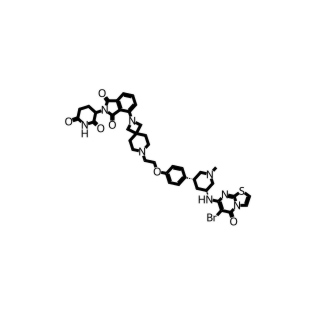 CN1C[C@H](Nc2nc3sccn3c(=O)c2Br)C[C@H](c2ccc(OCCN3CCC4(CC3)CN(c3cccc5c3C(=O)N(C3CCC(=O)NC3=O)C5=O)C4)cc2)C1